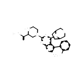 COc1ccccc1-c1csc2nc(N3CCNC(C(N)=O)C3)nc(N3C4CCC3COC4)c12